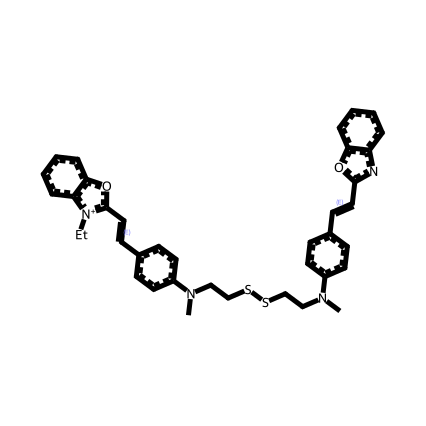 CC[n+]1c(/C=C/c2ccc(N(C)CCSSCCN(C)c3ccc(/C=C/c4nc5ccccc5o4)cc3)cc2)oc2ccccc21